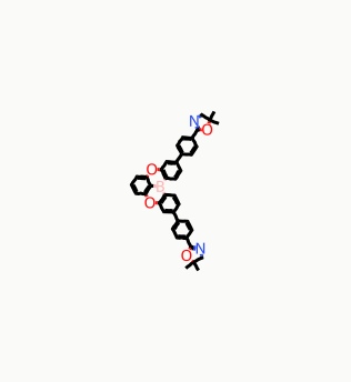 CC1(C)CN=C(c2ccc(-c3ccc4c(c3)Oc3cccc5c3B4c3ccc(-c4ccc(C6=NCC(C)(C)O6)cc4)cc3O5)cc2)O1